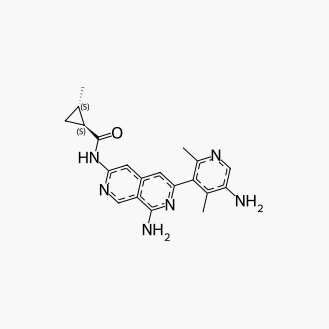 Cc1ncc(N)c(C)c1-c1cc2cc(NC(=O)[C@H]3C[C@@H]3C)ncc2c(N)n1